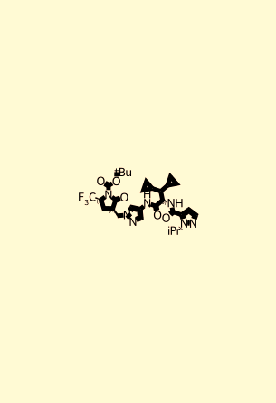 CC(C)n1nccc1C(=O)N[C@H](C(=O)Nc1cnn(C[C@H]2C[C@H](C(F)(F)F)N(C(=O)OC(C)(C)C)C2=O)c1)C(C1CC1)C1CC1